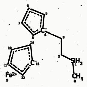 C[SiH2]CC[c-]1cccc1.[Fe+2].c1cc[cH-]c1